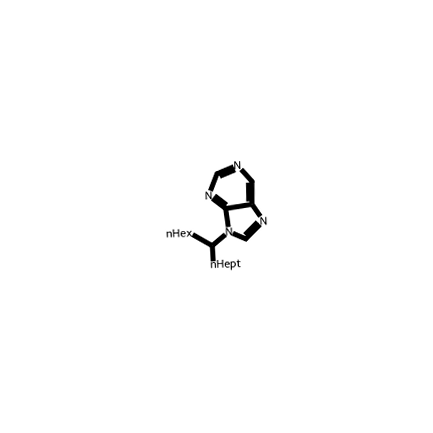 CCCCCCCC(CCCCCC)n1cnc2cncnc21